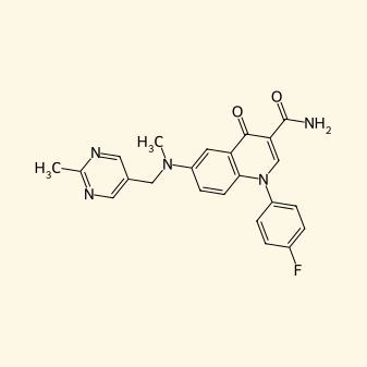 Cc1ncc(CN(C)c2ccc3c(c2)c(=O)c(C(N)=O)cn3-c2ccc(F)cc2)cn1